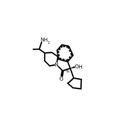 CC(N)C1CCN(C(=O)[C@](O)(c2ccccc2)C2CCCC2)CC1